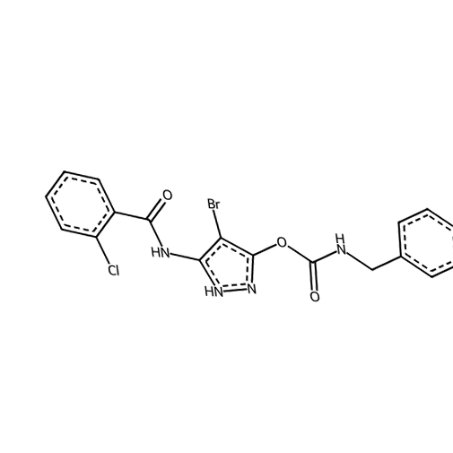 O=C(NCc1ccncc1)Oc1n[nH]c(NC(=O)c2ccccc2Cl)c1Br